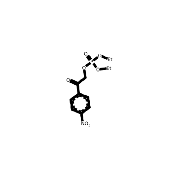 CCOP(=O)(OCC)OCC(=O)c1ccc([N+](=O)[O-])cc1